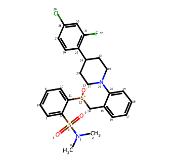 CN(C)S(=O)(=O)c1ccccc1[S+]([O-])Cc1ccccc1N1CCC(c2ccc(Cl)cc2F)CC1